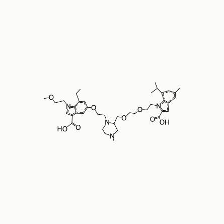 CCc1cc(OCCN2CCN(C)CC2COCCOCCn2c(C(=O)O)cc3cc(C)cc(C(C)C)c32)cc2c(C(=O)O)cn(CCOC)c12